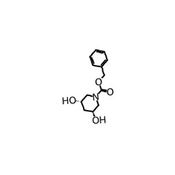 O=C(OCc1ccccc1)N1C[C@@H](O)C[C@H](O)C1